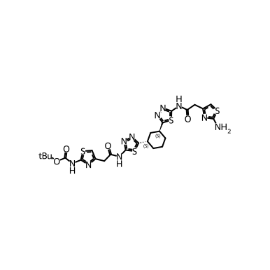 CC(C)(C)OC(=O)Nc1nc(CC(=O)Nc2nnc([C@H]3CCC[C@H](c4nnc(NC(=O)Cc5csc(N)n5)s4)C3)s2)cs1